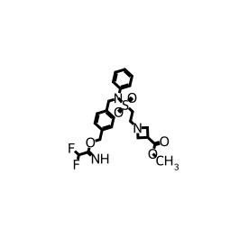 COC(=O)C1CN(CCS(=O)(=O)N(Cc2ccc(COC(=N)C(F)F)cc2)c2ccccc2)C1